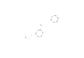 Nc1cc(C2CC(Br)=NO2)nc(C(=O)OCc2ccc(F)cc2)c1Cl